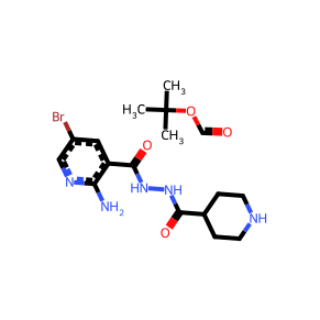 CC(C)(C)OC=O.Nc1ncc(Br)cc1C(=O)NNC(=O)C1CCNCC1